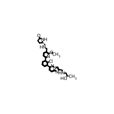 COc1nc(-c2cccc(-c3ccc4nc(CNC[C@H](C)O)cn4n3)c2Cl)ccc1CNC[C@@H]1CCC(=O)N1